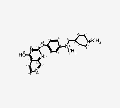 CN1CCC(CN(C)c2ccc(Oc3nc(O)c4ccncc4n3)cc2)CC1